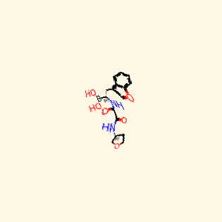 O=C(N[C@@H]1CCOC1)C(=O)N[C@@H](Cc1coc2ccccc12)B(O)O